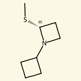 CS[C@@H]1CCN1C1CCC1